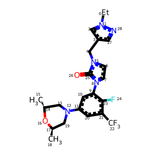 CCn1cc(Cn2ccn(-c3cc(N4C[C@@H](C)O[C@H](C)C4)cc(C(F)(F)F)c3F)c2=O)cn1